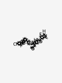 Cc1n[nH]c2c(F)cc(C(=O)Nc3ccc4c(c3)nc(CN3CCC(c5cccc6c5OC(C)(c5ccc(Cl)cc5F)O6)CC3)n4CC3CCO3)cc12